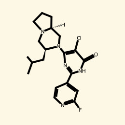 CC(C)C[C@H]1CN2CCC[C@H]2CN1c1nc(-c2ccnc(F)c2)[nH]c(=O)c1Cl